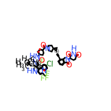 CN1[C@@H](CC(C)(C)C)[C@@]2(CNc3cc(C(F)(F)F)ncc32)[C@@H](c2cccc(Cl)c2F)[C@@H]1C(=O)NC12CCC(C(=O)N3CCC4(CC3)C[C@@H]4C#Cc3cccc4c3CN(C3CCC(=O)NC3=O)C4=O)(CC1)CC2